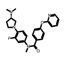 CN(C(=O)c1ccc(Oc2ccccn2)cc1)c1ccc(N2CC[C@@H](N(C)C)C2)c(F)c1